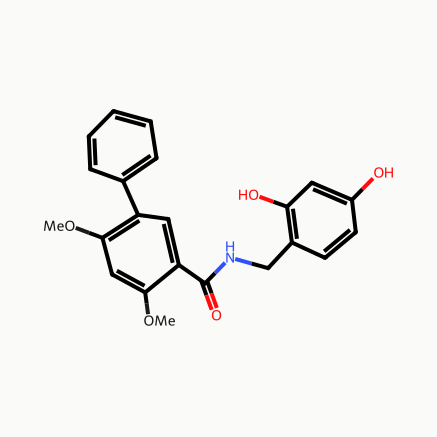 COc1cc(OC)c(-c2ccccc2)cc1C(=O)NCc1ccc(O)cc1O